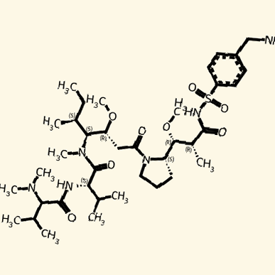 CC[C@H](C)[C@@H]([C@@H](CC(=O)N1CCC[C@H]1[C@H](OC)[C@@H](C)C(=O)NS(=O)(=O)c1ccc(CN)cc1)OC)N(C)C(=O)[C@@H](NC(=O)C(C(C)C)N(C)C)C(C)C